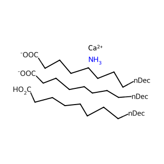 CCCCCCCCCCCCCCCCCC(=O)O.CCCCCCCCCCCCCCCCCC(=O)[O-].CCCCCCCCCCCCCCCCCC(=O)[O-].N.[Ca+2]